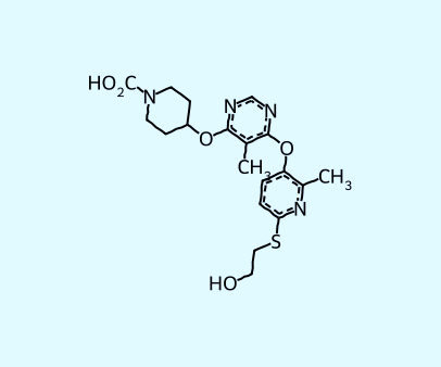 Cc1nc(SCCO)ccc1Oc1ncnc(OC2CCN(C(=O)O)CC2)c1C